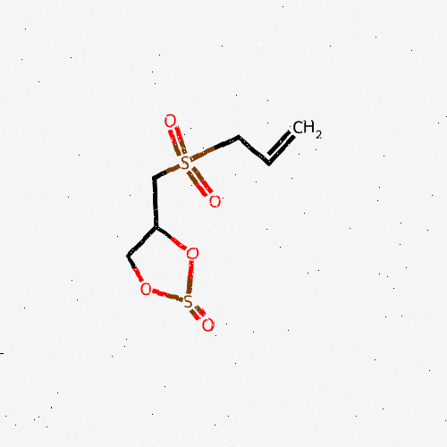 C=CCS(=O)(=O)CC1COS(=O)O1